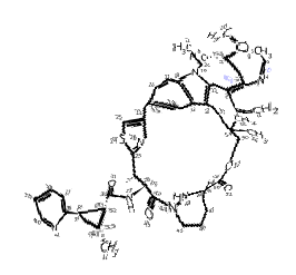 C=C/C(=C(\N=C/C)[C@H](C)OC)c1c2c3cc(ccc3n1CC)-c1csc(n1)C[C@H](NC(=O)[C@@H]1[C@H](C)[C@H]1c1ccccn1)C(=O)N1CCC[C@H](N1)C(=O)OCC(C)(C)C2